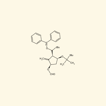 C=C1[C@H](OC=O)C[C@H](O[Si](C)(C)C(C)(C)C)[C@@H]1C(O[SiH](c1ccccc1)c1ccccc1)C(C)(C)C